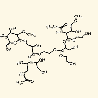 COCC(O)C(NC(C)=O)[C@@H](OCCO)OC(CO)[C@H](OCCO)OCCO[C@@H](O[C@H](C(O)CO)C(O)CNC(C)=O)C(O)CO[C@H]1OC(CO)[C@@H](O)C(O)C1OC